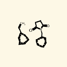 C=Cc1ccccc1.O=C1CCC(=O)N1c1ccccc1